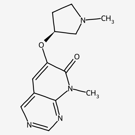 CN1CC[C@H](Oc2cc3cncnc3n(C)c2=O)C1